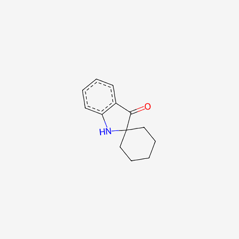 O=C1c2ccccc2NC12CCCCC2